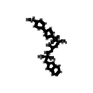 CN(CC(O)CNC(C)(C)CC1Cc2ccccc2C1)S(=O)(=O)c1ccc(-c2ccc(C(=O)O)cc2)cc1